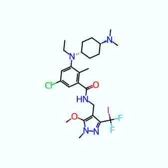 CCN(c1cc(Cl)cc(C(=O)NCc2c(C(F)(F)I)nn(C)c2OC)c1C)[C@H]1CC[C@H](N(C)C)CC1